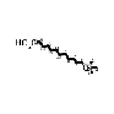 C[Si](C)(C)OCCCCCCCCCCCC(=O)O